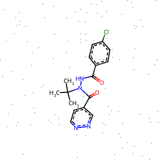 CC(C)(C)N(NC(=O)c1ccc(Cl)cc1)C(=O)c1ccnnc1